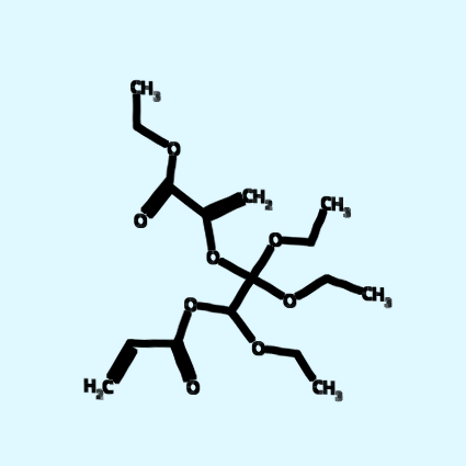 C=CC(=O)OC(OCC)C(OCC)(OCC)OC(=C)C(=O)OCC